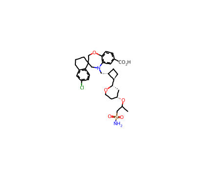 CC(CS(N)(=O)=O)O[C@@H]1CCO[C@H]([C@@H]2CC[C@H]2CN2CC3(CCCc4cc(Cl)ccc43)COc3ccc(C(=O)O)cc32)C1